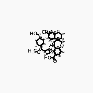 CO[C@@H](C1=CC[C@H](CO)CC1)[C@@H]1CC[C@H]1CN1CC2(CCCc3cc(Cl)ccc32)COc2ccc(C(=O)O)cc21